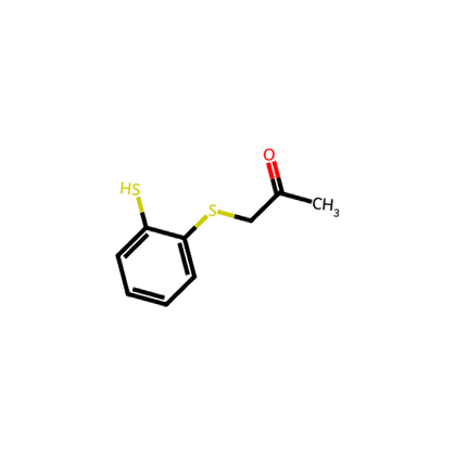 CC(=O)CSc1ccccc1S